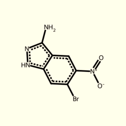 Nc1n[nH]c2cc(Br)c([N+](=O)[O-])cc12